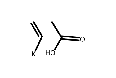 C=[CH][K].CC(=O)O